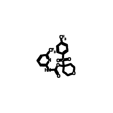 O=C(Nc1cccc(C(F)(F)F)n1)OC1(S(=O)(=O)c2ccc(C(F)(F)F)cc2)CCOCC1